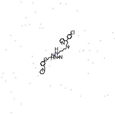 CN(CCCCCN/C(=N/CCCOc1cccc(CN2CCCCC2)c1)NC#N)CCC(c1ccc(Cl)cc1)c1ccccn1